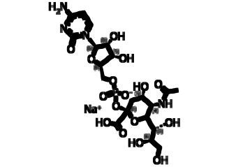 CC(=O)N[C@H]1C([C@H](O)[C@H](O)CO)O[C@](OP(=O)([O-])OC[C@H]2O[C@@H](n3ccc(N)nc3=O)[C@H](O)[C@@H]2O)(C(=O)O)C[C@@H]1O.[Na+]